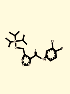 CC(C)[Si](OCc1nonc1C(=S)Nc1ccc(F)c(Cl)c1)(C(C)C)C(C)C